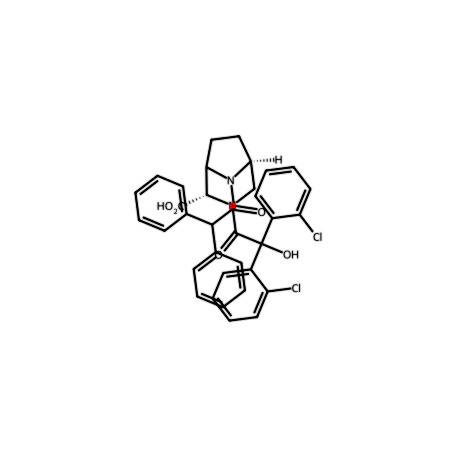 O=C(O)[C@@H]1C2CC[C@@H](CN1C(=O)C(O)(c1ccccc1Cl)c1ccccc1Cl)N2C(=O)C(c1ccccc1)c1ccccc1